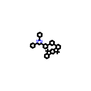 CC1(C)c2ccccc2-c2cc3c(cc21)-c1c(-c2cccc(-c4cccc(-c5cc(-c6ccccc6)nc(-c6ccccc6)n5)c4)c2)cccc1C3(C)C